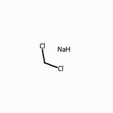 ClCCl.[NaH]